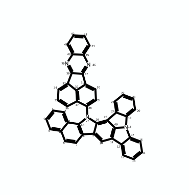 c1ccc2c(c1)ccc1c3cc4c5ccccc5n5c6ccccc6c(c3n(-c3ccc6c7c(cccc37)-c3nc7ccccc7nc3-6)c21)c45